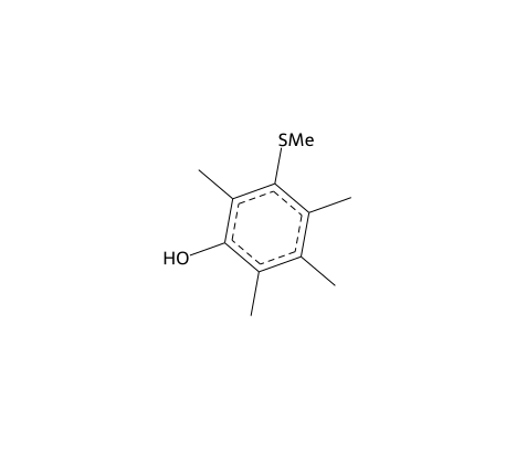 CSc1c(C)c(C)c(C)c(O)c1C